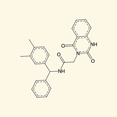 Cc1ccc(C(NC(=O)Cn2c(=O)[nH]c3ccccc3c2=O)c2ccccc2)cc1C